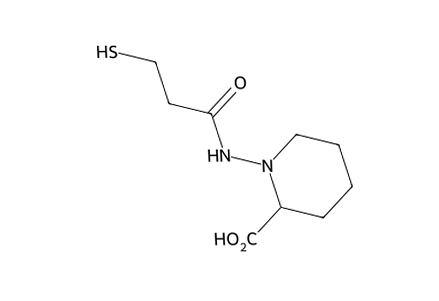 O=C(CCS)NN1CCCCC1C(=O)O